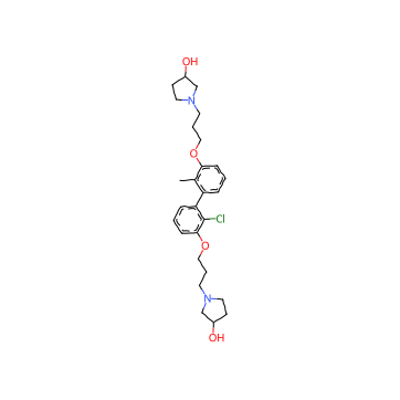 Cc1c(OCCCN2CCC(O)C2)cccc1-c1cccc(OCCCN2CCC(O)C2)c1Cl